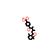 COC(=O)c1ccc(C(=O)C(C)C(C)CC(=O)C2C(C)=CCCC2(C)C)cc1